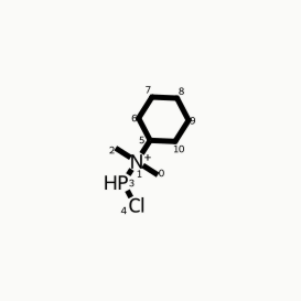 C[N+](C)(PCl)C1CCCCC1